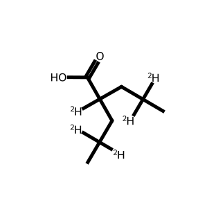 [2H]C([2H])(C)CC([2H])(CC([2H])([2H])C)C(=O)O